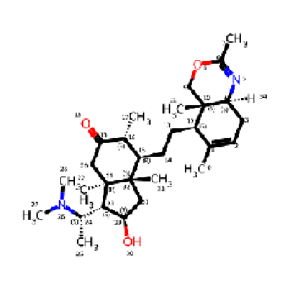 CC1=CC[C@@H]2N=C(C)OC[C@@]2(C)[C@@H]1CC[C@@H]1[C@@H](C)C(=O)C[C@]2(C)[C@@H]([C@H](C)N(C)C)[C@H](O)C[C@@]12C